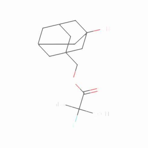 CCCCC(F)(C(=O)OCC12CC3CC(CC(O)(C3)C1)C2)S(=O)(=O)O